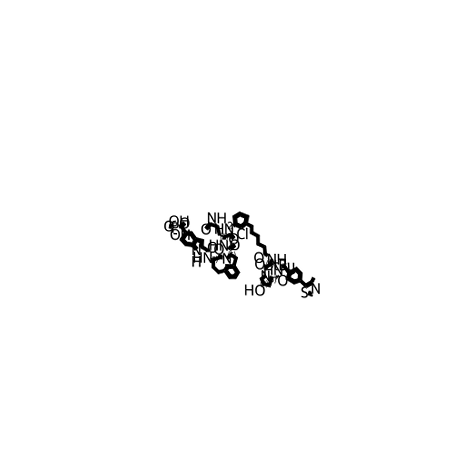 Cc1ncsc1-c1ccc([C@H](C)NC(=O)[C@@H]2C[C@@H](O)CN2C(=O)[C@@H](NC(=O)CCCCCc2cccc(NC(=O)[C@H](CCC(N)=O)NC(=O)[C@@H]3Cc4cccc5c4N3C(=O)[C@@H](NC(=O)c3cc4cc(C(=O)P(=O)(O)O)ccc4[nH]3)CC5)c2Cl)C(C)(C)C)cc1